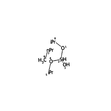 CC(C)O[SiH](O)OC(C)C.CCCC